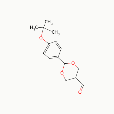 CC(C)(C)Oc1ccc(C2OCC(C=O)CO2)cc1